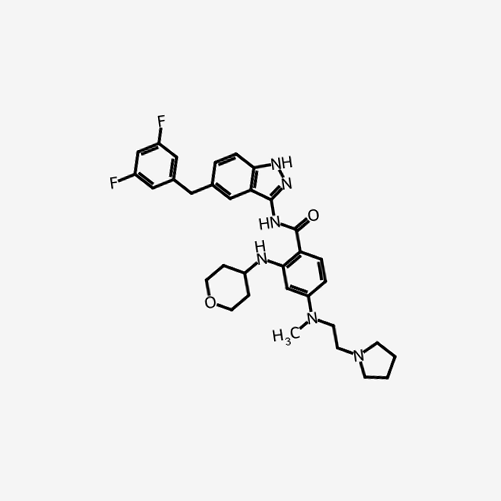 CN(CCN1CCCC1)c1ccc(C(=O)Nc2n[nH]c3ccc(Cc4cc(F)cc(F)c4)cc23)c(NC2CCOCC2)c1